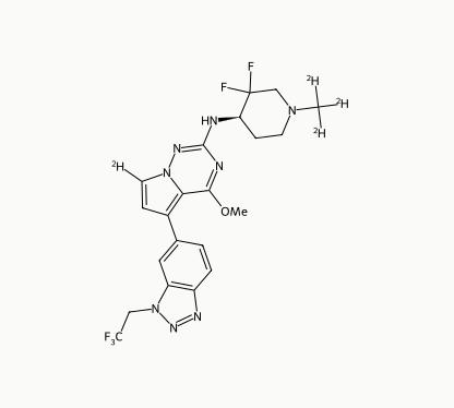 [2H]c1cc(-c2ccc3nnn(CC(F)(F)F)c3c2)c2c(OC)nc(N[C@@H]3CCN(C([2H])([2H])[2H])CC3(F)F)nn12